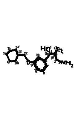 CC[C@@H](CN)[C@@H](O)c1cccc(OCC2CCCCC2)c1